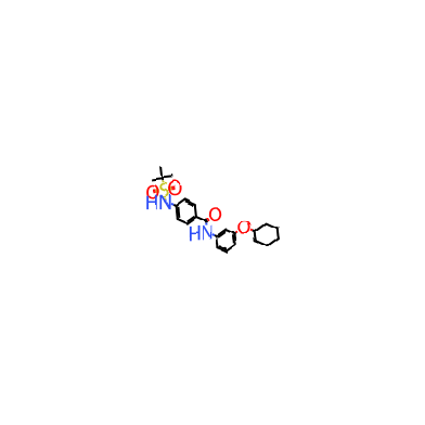 CC(C)(C)S(=O)(=O)Nc1ccc(C(=O)Nc2cccc(OC3CCCCC3)c2)cc1